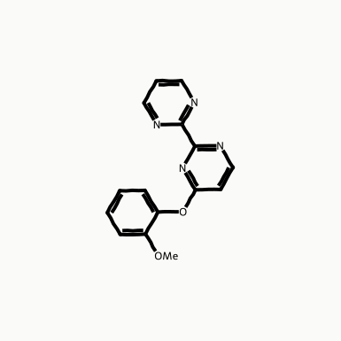 COc1ccccc1Oc1ccnc(-c2ncccn2)n1